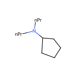 CCCN(CCC)C1CCCC1